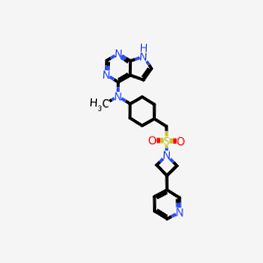 CN(c1ncnc2[nH]ccc12)C1CCC(CS(=O)(=O)N2CC(c3cccnc3)C2)CC1